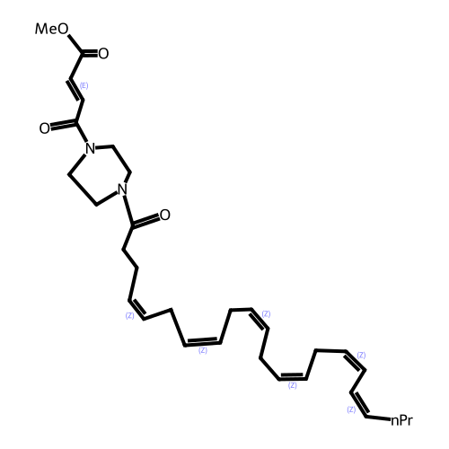 CCC/C=C\C=C/C/C=C\C/C=C\C/C=C\C/C=C\CCC(=O)N1CCN(C(=O)/C=C/C(=O)OC)CC1